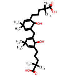 CC1(C)C=C(CCCC(C)(C)C(=O)O)C(O)C(CC2=CC(C)(C)C=C(CCCC(C)(C)C(=O)O)C2O)=C1